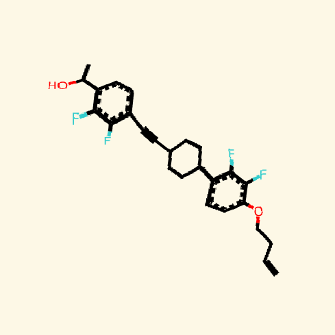 C=CCCOc1ccc(C2CCC(C#Cc3ccc(C(C)O)c(F)c3F)CC2)c(F)c1F